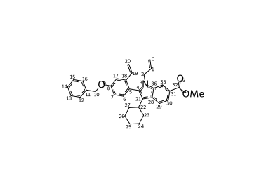 C=CCn1c(-c2ccc(OCc3ccccc3)cc2C=C)c(C2CCCCC2)c2ccc(C(=O)OC)cc21